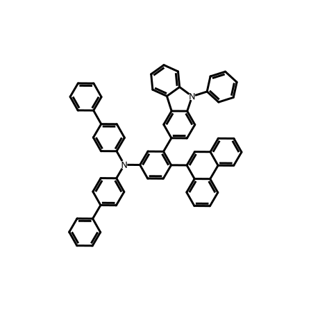 c1ccc(-c2ccc(N(c3ccc(-c4ccccc4)cc3)c3ccc(-c4cc5ccccc5c5ccccc45)c(-c4ccc5c(c4)c4ccccc4n5-c4ccccc4)c3)cc2)cc1